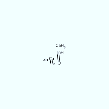 [CaH2].[GaH3].[O]=[InH].[Zn]